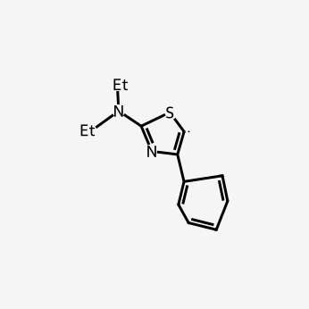 CCN(CC)c1nc(-c2ccccc2)[c]s1